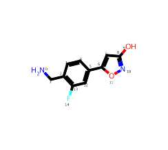 NCc1ccc(-c2cc(O)no2)cc1F